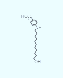 O=C(O)c1ccc(NCCCCCCCCCCCO)cc1